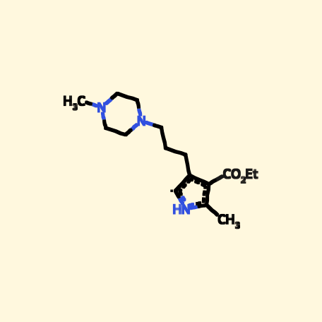 CCOC(=O)c1c(CCCN2CCN(C)CC2)[c][nH]c1C